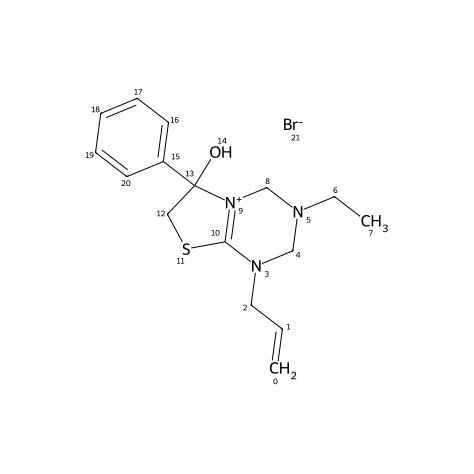 C=CCN1CN(CC)C[N+]2=C1SCC2(O)c1ccccc1.[Br-]